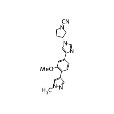 COc1cc(-c2cn([C@@H]3CCN(C#N)C3)cn2)ccc1-c1cnn(C)c1